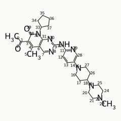 CC(=O)c1c(C)c2cnc(Nc3ccc(N4CCC(N5CCN(C)CC5)CC4)cn3)nc2n(C2CCCC2)c1=O